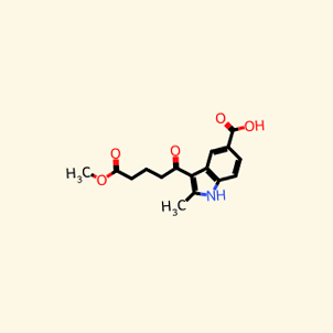 COC(=O)CCCC(=O)c1c(C)[nH]c2ccc(C(=O)O)cc12